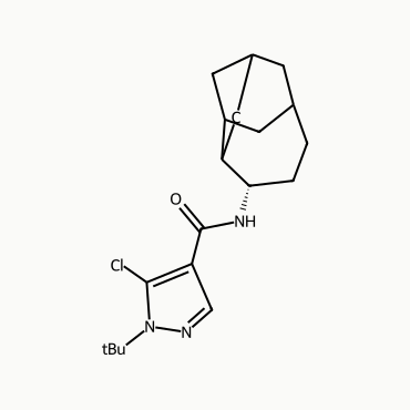 CC(C)(C)n1ncc(C(=O)N[C@H]2CCC3CC4CC(C3)C2C4)c1Cl